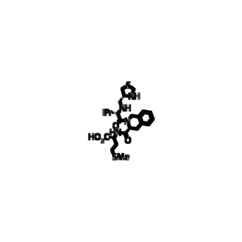 CSCC[C@H](NC(=O)[C@@H]1Cc2ccccc2CN1C(=O)[C@@H](NC[C@@H]1CSCN1)C(C)C)C(=O)O